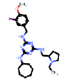 CCN1CCCC1CNc1nc(NCc2ccc(OC)c(I)c2)nc(NC2CCCCCC2)n1